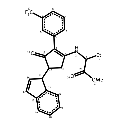 CCC(NC1=C(c2cccc(C(F)(F)F)c2)C(=O)C(C2C=Cc3ccccc32)C1)C(=O)OC